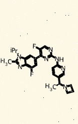 Cc1nc2c(F)cc(-c3nc(Nc4ccc([C@H](C)N5CCC5)cn4)ncc3F)cc2n1C(C)C